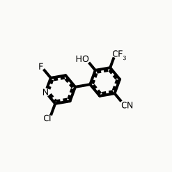 N#Cc1cc(-c2cc(F)nc(Cl)c2)c(O)c(C(F)(F)F)c1